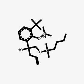 C=CCC(O)(CO[Si](C)(C)CCCC)c1cccc(C(C)(C)C)c1O[SiH](C)C